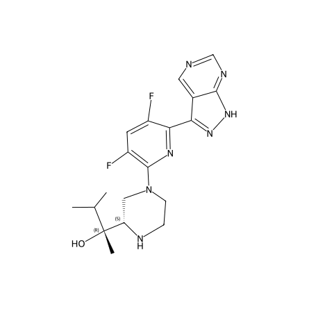 CC(C)[C@@](C)(O)[C@@H]1CN(c2nc(-c3n[nH]c4ncncc34)c(F)cc2F)CCN1